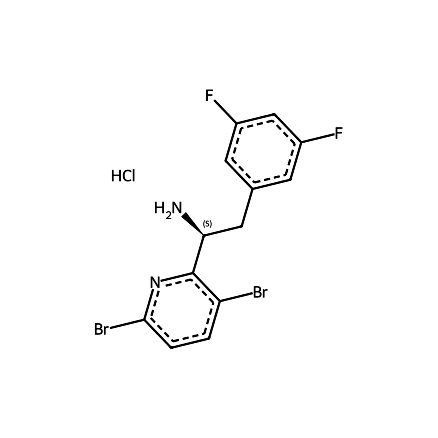 Cl.N[C@@H](Cc1cc(F)cc(F)c1)c1nc(Br)ccc1Br